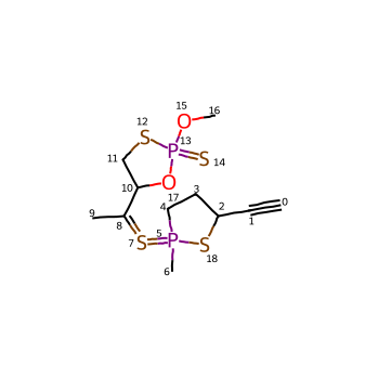 C#CC1CCP(C)(=S=C(C)C2CSP(=S)(OC)O2)S1